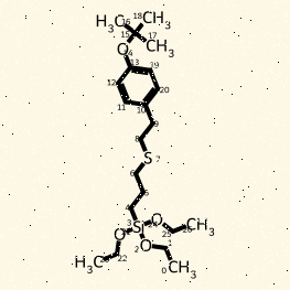 CCO[Si](CCCSCCc1ccc(OC(C)(C)C)cc1)(OCC)OCC